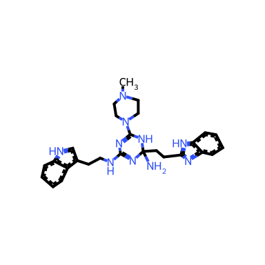 CN1CCN(C2=NC(NCCc3c[nH]c4ccccc34)=NC(N)(CCc3nc4ccccc4[nH]3)N2)CC1